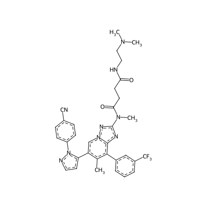 Cc1c(-c2ccnn2-c2ccc(C#N)cc2)cn2nc(N(C)C(=O)CCC(=O)NCCN(C)C)nc2c1-c1cccc(C(F)(F)F)c1